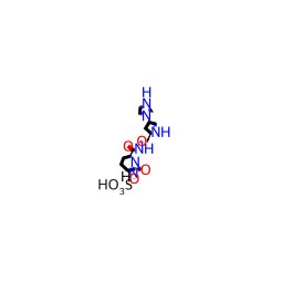 O=C(NOC[C@H]1C[C@H](N2CCNC2)CN1)[C@@H]1CC[C@@H]2CN1C(=O)N2OS(=O)(=O)O